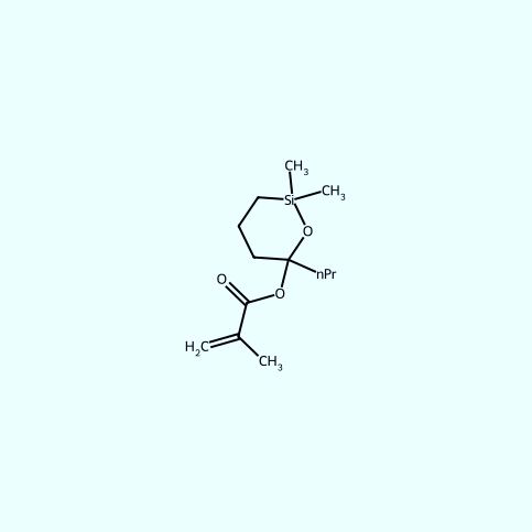 C=C(C)C(=O)OC1(CCC)CCC[Si](C)(C)O1